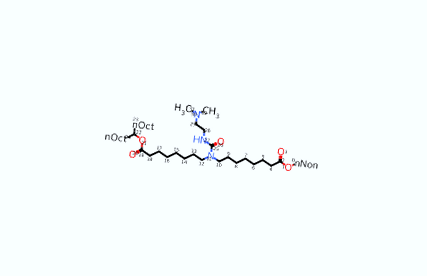 CCCCCCCCCOC(=O)CCCCCCCN(CCCCCCCC(=O)OC(CCCCCCCC)CCCCCCCC)C(=O)NCCN(C)C